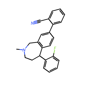 CN1CCC(c2ccccc2F)c2ccc(-c3ccccc3C#N)cc2C1